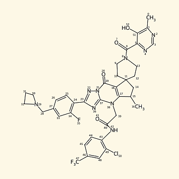 Cc1ncnc(C(=O)N2CCC3(CC2)CC(C)c2c3c(=O)n3nc(-c4ccc(CN5CCC5)cc4F)nc3n2CC(=O)Nc2ccc(C(F)(F)F)cc2Cl)c1O